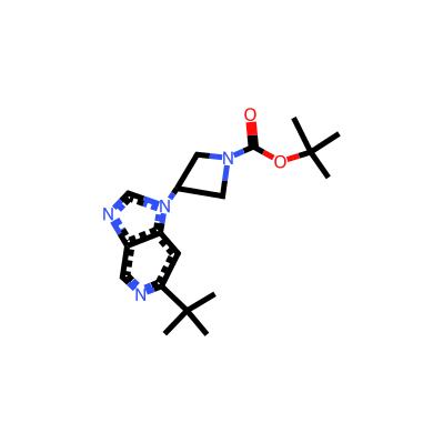 CC(C)(C)OC(=O)N1CC(n2cnc3cnc(C(C)(C)C)cc32)C1